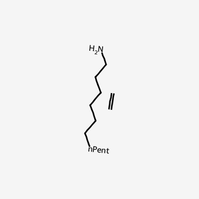 C=C.CCCCCCCCCCCN